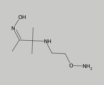 CC(=NO)C(C)(C)NCCON